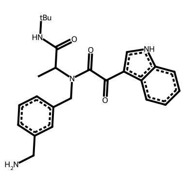 CC(C(=O)NC(C)(C)C)N(Cc1cccc(CN)c1)C(=O)C(=O)c1c[nH]c2ccccc12